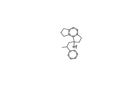 CC(C[C]1([Hf])CCc2ccc3c(c21)CCC3)c1ccccc1